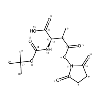 CC(C(=O)ON1C(=O)CCC1=O)[C@@H](NC(=O)OC(C)(C)C)C(=O)O